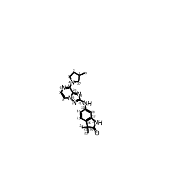 CC1CCN(c2nccn3nc(Nc4ccc5c(c4)NC(=O)C5(C)C)nc23)C1